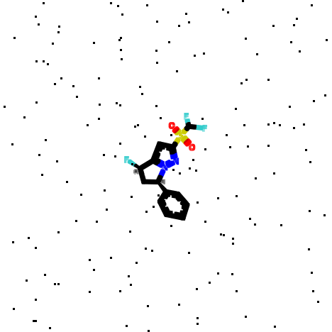 O=S(=O)(c1cc2n(n1)[C@@H](c1ccccc1)C[C@H]2F)C(F)F